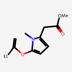 C=C(CC)Oc1ccc(CC(=O)OC)n1C